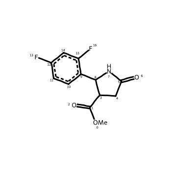 COC(=O)C1CC(=O)NC1c1ccc(F)cc1F